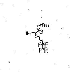 CC(C)CC(SCCCC(F)(F)C(F)F)C(=O)OC(C)(C)C